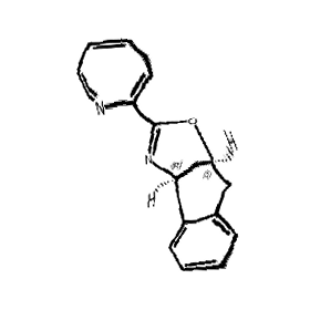 c1ccc(C2=N[C@@H]3c4ccccc4C[C@@H]3O2)nc1